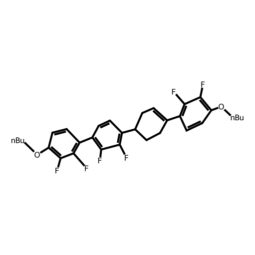 CCCCOc1ccc(C2=CCC(c3ccc(-c4ccc(OCCCC)c(F)c4F)c(F)c3F)CC2)c(F)c1F